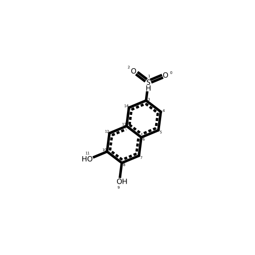 O=[SH](=O)c1ccc2cc(O)c(O)cc2c1